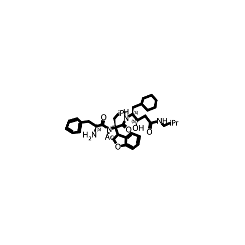 CC(=O)N(C(=O)[C@@H](N)Cc1ccccc1)[C@](CC(C)C)(C(=O)N[C@@H](CC1CCCCC1)[C@@H](O)CC(=O)NCC(C)C)C1COc2ccccc21